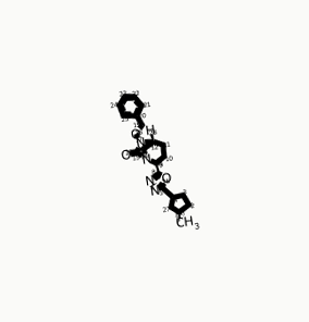 C[C@H]1CCC(c2nnc([C@@H]3CC[C@@H]4CN3C(=O)N4OCc3ccccc3)o2)C1